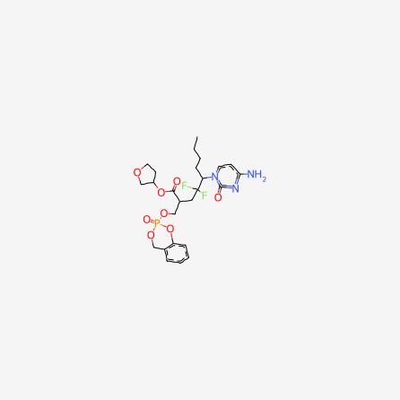 CCCCC(n1ccc(N)nc1=O)C(F)(F)CC(COP1(=O)OCc2ccccc2O1)C(=O)OC1CCOC1